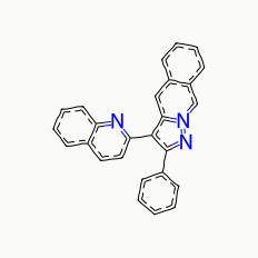 c1ccc(-c2nn3cc4ccccc4cc3c2-c2ccc3ccccc3n2)cc1